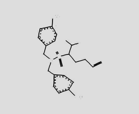 C=CCCC(C(F)F)S(=O)(=O)N(Cc1ccc(OC)cc1)Cc1ccc(OC)cc1